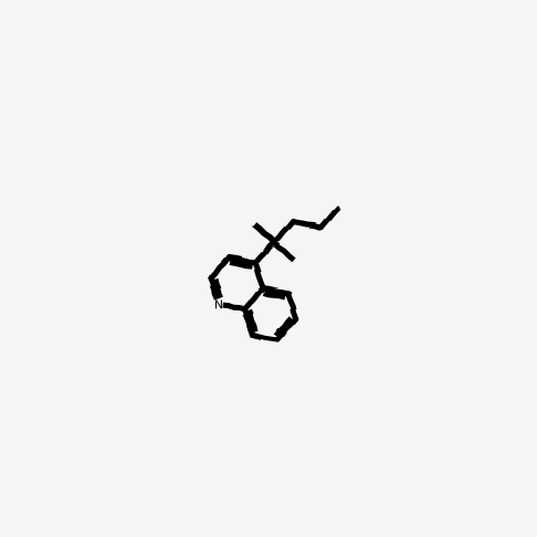 CCCC(C)(C)c1ccnc2ccccc12